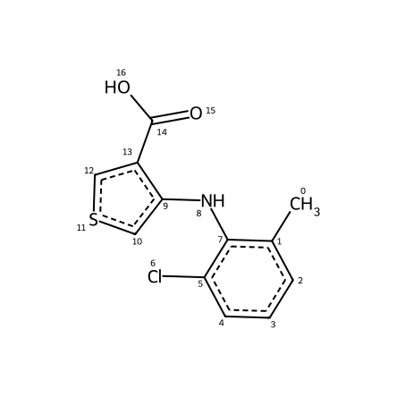 Cc1cccc(Cl)c1Nc1cscc1C(=O)O